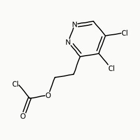 O=C(Cl)OCCc1nncc(Cl)c1Cl